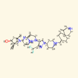 O=C1C[C@H]2C[C@@H]1CN2C1=NC2=CCN(c3cn(C4CCN(CC5CCC6(CCNCC6)CC5)CC4)nc3C(F)F)N2C=C1